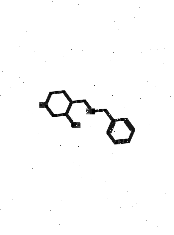 OC1CNCCC1CNCc1ccccc1